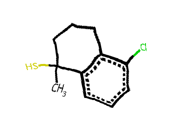 CC1(S)CCCc2c(Cl)cccc21